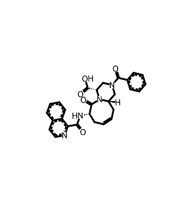 O=C(N[C@H]1CC=CC[C@H]2CN(C(=O)c3ccccc3)C[C@@H](C(=O)O)N2C1=O)c1nccc2ccccc12